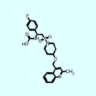 Cc1cc(COC2CCN(S(=O)(=O)CC(NC(=O)O)c3ccc(F)cc3)CC2)c2ccccc2n1